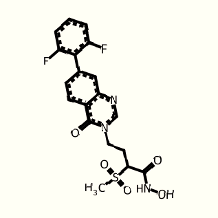 CS(=O)(=O)C(CCn1cnc2cc(-c3c(F)cccc3F)ccc2c1=O)C(=O)NO